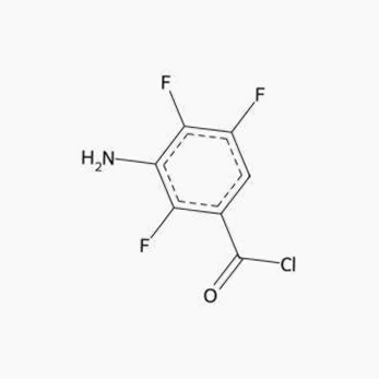 Nc1c(F)c(F)cc(C(=O)Cl)c1F